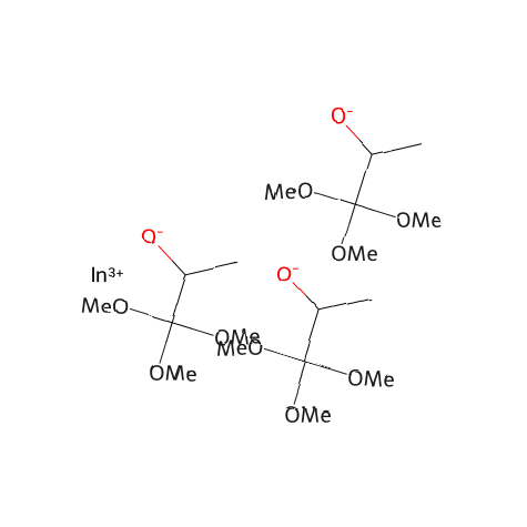 COC(OC)(OC)C(C)[O-].COC(OC)(OC)C(C)[O-].COC(OC)(OC)C(C)[O-].[In+3]